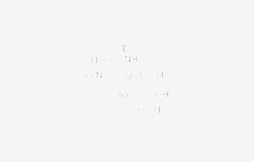 CCCC(NCC)(O[N+](=O)[O-])C(=O)O.O=C(O)C(O)C(O)C(=O)O